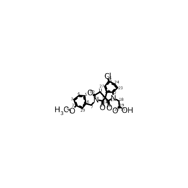 COc1cccc(CN2C(=O)CC3(C2=O)C(=O)N(CC(=O)O)c2ccc(Cl)cc23)c1